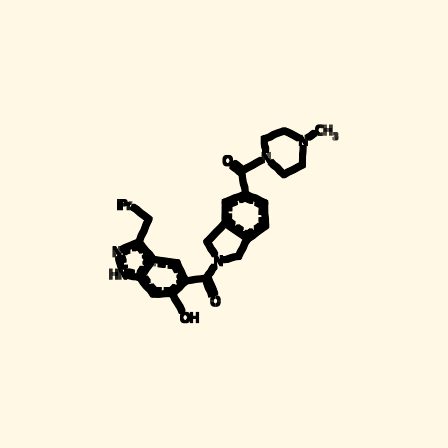 CC(C)Cc1n[nH]c2cc(O)c(C(=O)N3Cc4ccc(C(=O)N5CCN(C)CC5)cc4C3)cc12